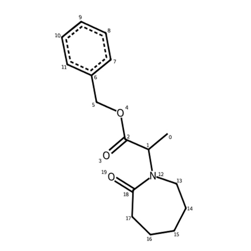 CC(C(=O)OCc1ccccc1)N1CCCCCC1=O